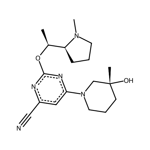 C[C@H](Oc1nc(C#N)cc(N2CCC[C@@](C)(O)C2)n1)[C@@H]1CCCN1C